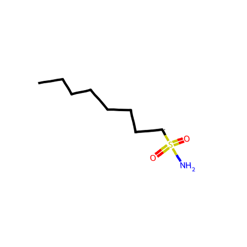 CCCCCCC[CH]S(N)(=O)=O